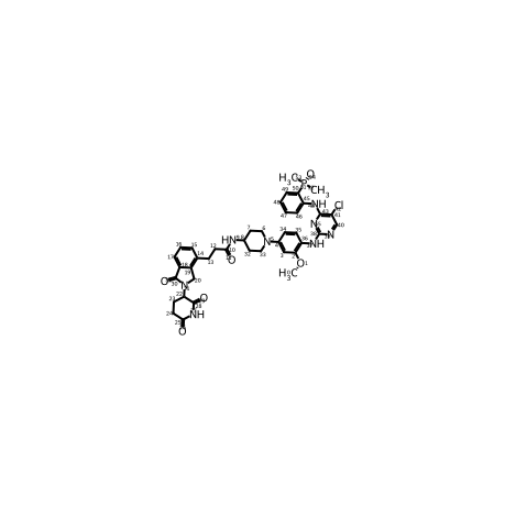 COc1cc(N2CCC(NC(=O)CCc3cccc4c3CN(C3CCC(=O)NC3=O)C4=O)CC2)ccc1Nc1ncc(Cl)c(Nc2ccccc2P(C)(C)=O)n1